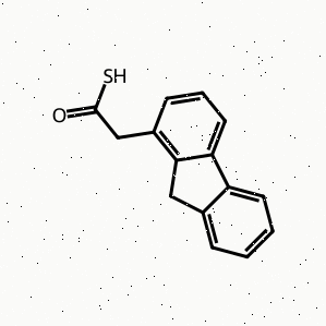 O=C(S)Cc1cccc2c1Cc1ccccc1-2